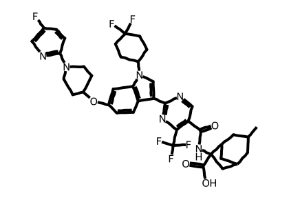 CC1CC2CC(C1)C(NC(=O)c1cnc(-c3cn(C4CCC(F)(F)CC4)c4cc(OC5CCN(c6ccc(F)cn6)CC5)ccc34)nc1C(F)(F)F)(C(=O)O)C2